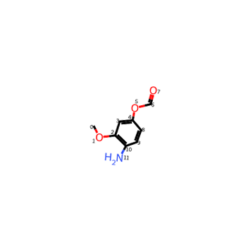 COc1cc(OC=O)ccc1N